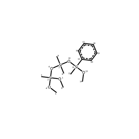 CO[Si](C)(OC)O[Si](C)(C)O[Si](C)(OC)c1ccccc1